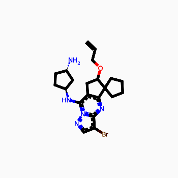 C=CCOC1Cc2c(nc3c(Br)cnn3c2N[C@H]2CC[C@H](N)C2)C12CCCC2